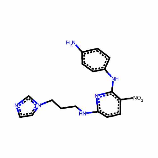 Nc1ccc(Nc2nc(NCCCn3ccnc3)ccc2[N+](=O)[O-])cc1